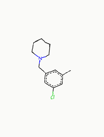 Cc1cc(Cl)cc(CN2CCCCC2)c1